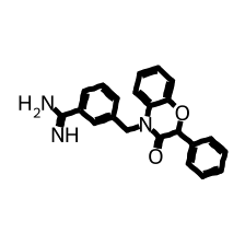 N=C(N)c1cccc(CN2C(=O)C(c3ccccc3)Oc3ccccc32)c1